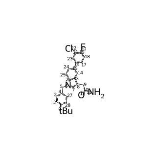 CC(C)(C)c1ccc(Cn2cc(CC(N)=O)c3cc(-c4ccc(F)c(Cl)c4)ccc32)cc1